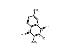 CC1=C(Cl)C(=O)c2cc(C)ccc2C1=O